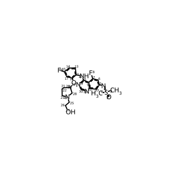 CS(C)(=O)=Nc1cc(F)c2c(Nc3ccc(F)cc3O[C@@H]3CCCN(CCO)C3)ncnc2c1